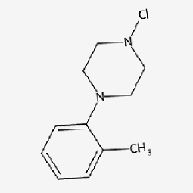 Cc1ccccc1N1CCN(Cl)CC1